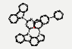 c1ccc(-c2ccc(-c3nc(-n4c5ccccc5c5ccccc54)nc(-n4c5ccccc5c5ccc6ccn(-c7ccccc7)c6c54)n3)cc2)cc1